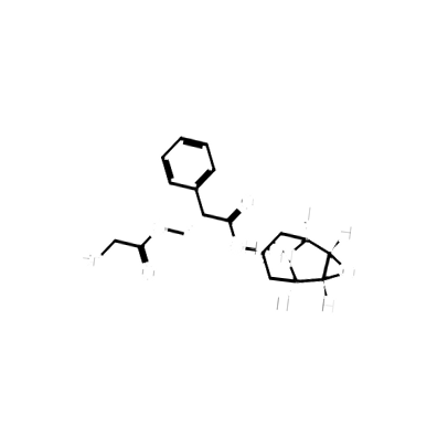 CN1[C@@H]2C[C@@H](OC(=O)[C@H](COC(=O)CBr)c3ccccc3)C[C@H]1[C@@H]1O[C@@H]12